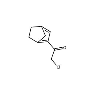 O=C(CCl)C1=C2CCC(=C1)C2